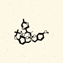 COc1ccc(CN(Cc2ccc(OC)cc2)S(=O)(=O)[C@@H](C)C(O[Si](C)(C)C(C)(C)C)c2cnc(C)cn2)cc1